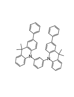 CC1(C)c2ccccc2N(c2cccc(N3c4ccccc4C(C)(C)c4cc(-c5ccccc5)ccc43)c2)c2ccc(-c3ccccc3)cc21